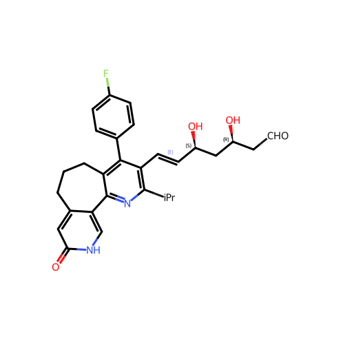 CC(C)c1nc2c(c(-c3ccc(F)cc3)c1/C=C/[C@@H](O)C[C@@H](O)CC=O)CCCc1cc(=O)[nH]cc1-2